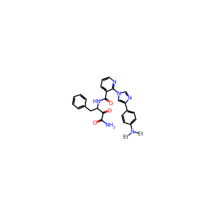 CCN(CC)c1ccc(-c2cn(-c3ncccc3C(=O)NC(Cc3ccccc3)C(=O)C(N)=O)cn2)cc1